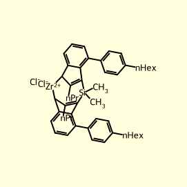 CCCCCCc1ccc(-c2cccc3c2C2=C(CCC)[CH]3[Zr+2][CH]3C(CCC)=C(c4c(-c5ccc(CCCCCC)cc5)cccc43)[Si]2(C)C)cc1.[Cl-].[Cl-]